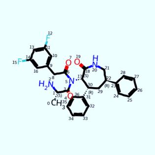 C[C@H](N)C(=O)N(C(=O)Cc1cc(F)cc(F)c1)[C@@H]1C(=O)NC[C@@H](c2ccccc2)C[C@@H]1c1ccccc1